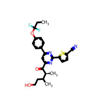 CCC(F)(F)Oc1ccc(-c2cc(C(=O)[C@@H](C)C(C)CCO)nc(-c3ccc(C#N)s3)n2)cc1